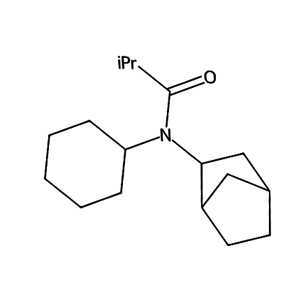 CC(C)C(=O)N(C1CCCCC1)C1CC2CCC1C2